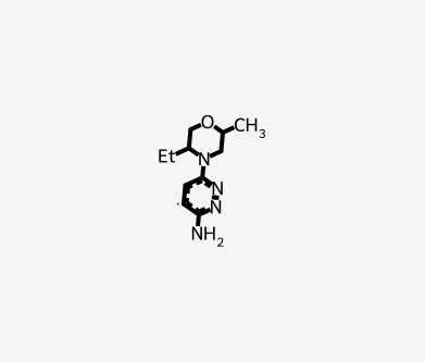 CCC1COC(C)CN1c1c[c]c(N)nn1